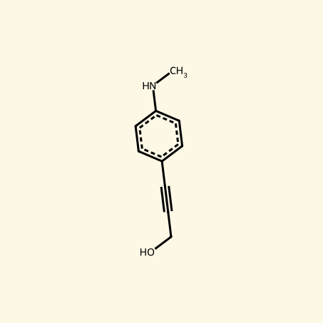 CNc1ccc(C#CCO)cc1